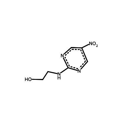 O=[N+]([O-])c1cnc(NCCO)nc1